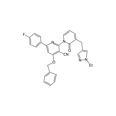 CCn1cc(Cc2cccn(-c3nc(-c4ccc(F)cc4)cc(OCc4ccccc4)c3C#N)c2=O)cn1